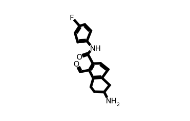 NC1CCc2c(ccc(C(=O)Nc3ccc(F)cc3)c2C=O)C1